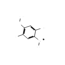 COc1cc(C)c([N+](=O)[O-])cc1F